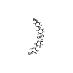 O=C(Oc1ccc(-c2ccc(Br)cc2)cc1)Oc1ccc(-c2ccc(Br)cc2)cc1